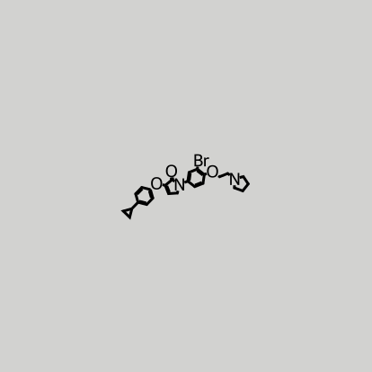 O=C1C(Oc2ccc(C3CC3)cc2)=CCN1c1ccc(OCCN2CCCC2)c(Br)c1